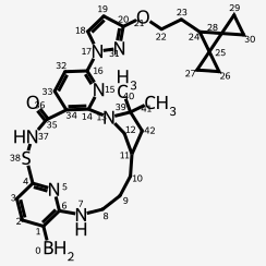 Bc1ccc2nc1NCCCC1CN(c3nc(-n4ccc(OCCC5C6(CC6)C56CC6)n4)ccc3C(=O)NS2)C(C)(C)C1